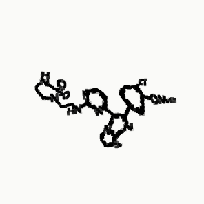 COc1cc(-c2nc3sccn3c2-c2ccnc(NCCN3CCNS3(=O)=O)n2)ccc1Cl